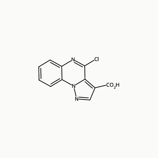 O=C(O)c1cnn2c1c(Cl)nc1ccccc12